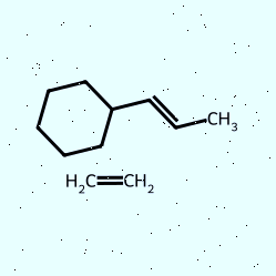 C=C.CC=CC1CCCCC1